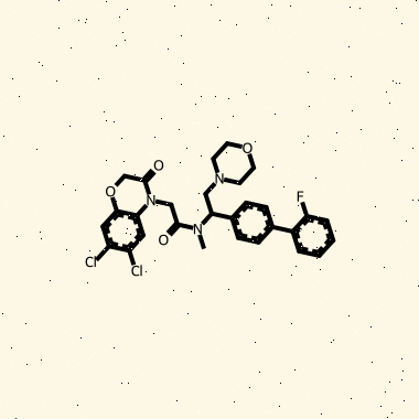 CN(C(=O)CN1C(=O)COc2cc(Cl)c(Cl)cc21)C(CN1CCOCC1)c1ccc(-c2ccccc2F)cc1